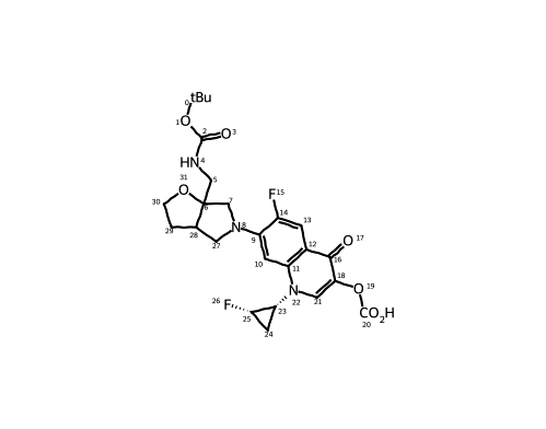 CC(C)(C)OC(=O)NCC12CN(c3cc4c(cc3F)c(=O)c(OC(=O)O)cn4[C@@H]3C[C@@H]3F)CC1CCO2